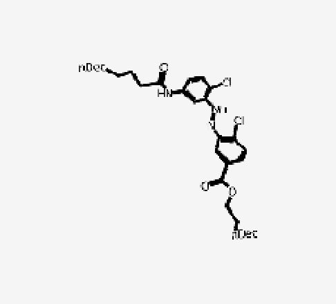 CCCCCCCCCCCCCC(=O)Nc1ccc(Cl)c(N[N]c2cc(C(=O)OCCCCCCCCCCCC)ccc2Cl)c1